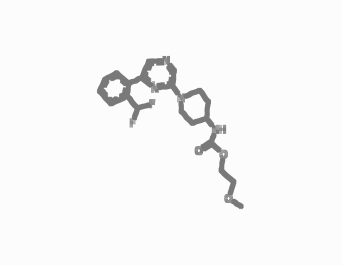 COCCOC(=O)NC1CCN(c2cncc(-c3ccccc3C(F)F)n2)CC1